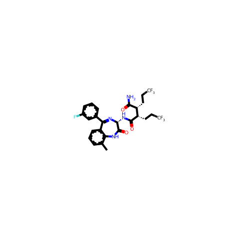 Cc1cccc2c1NC(=O)[C@@H](NC(=O)[C@@H](CCC(F)(F)F)[C@@H](CCC(F)(F)F)C(N)=O)N=C2c1cccc(F)c1